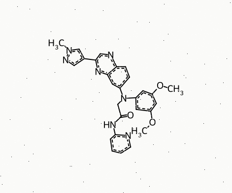 COc1cc(OC)cc(N(CC(=O)Nc2ccccn2)c2ccc3ncc(-c4cnn(C)c4)nc3c2)c1